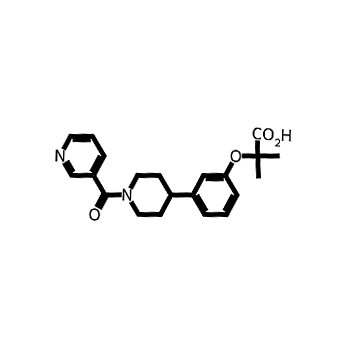 CC(C)(Oc1cccc(C2CCN(C(=O)c3cccnc3)CC2)c1)C(=O)O